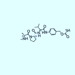 CN[C@@H](C)C(=O)N1CCC[C@H]1C(=O)N[C@H](C(=O)Nc1ccc(COC(=O)S)cc1)C(C)C